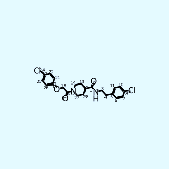 O=C(NCCc1ccc(Cl)cc1)C1CCN(C(=O)COc2ccc(Cl)cc2)CC1